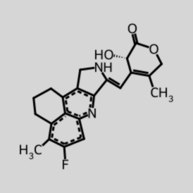 CC1=C(/C=C2\NCc3c2nc2cc(F)c(C)c4c2c3CCC4)[C@H](O)C(=O)OC1